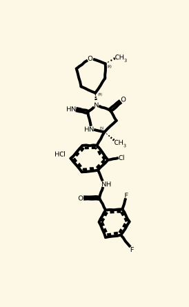 C[C@@H]1C[C@H](N2C(=N)N[C@](C)(c3cccc(NC(=O)c4ccc(F)cc4F)c3Cl)CC2=O)CCO1.Cl